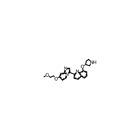 COCCOc1ccn2c(-c3ccc4cccc(O[C@H]5CCNC5)c4n3)cnc2c1